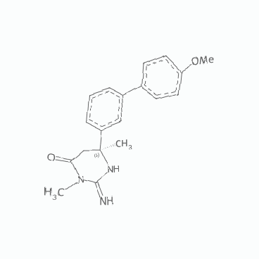 COc1ccc(-c2cccc([C@]3(C)CC(=O)N(C)C(=N)N3)c2)cc1